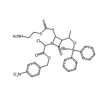 CC(=O)NCCSC(=S)SC1C(C(C)O[Si](c2ccccc2)(c2ccccc2)C(C)(C)C)C(=O)N1C(Cl)C(=O)OCc1ccc([N+](=O)[O-])cc1